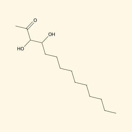 CCCCCCCCCCC(O)C(O)C(C)=O